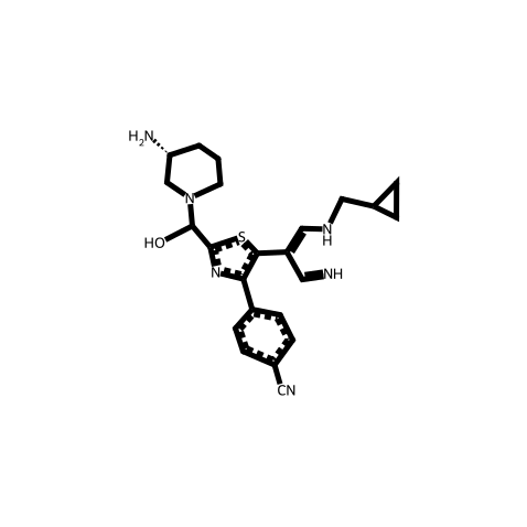 N#Cc1ccc(-c2nc(C(O)N3CCC[C@@H](N)C3)sc2/C(C=N)=C/NCC2CC2)cc1